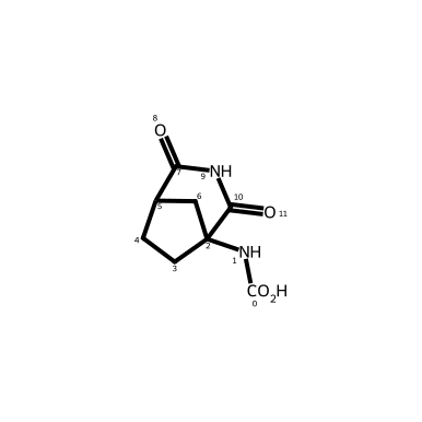 O=C(O)NC12CCC(C1)C(=O)NC2=O